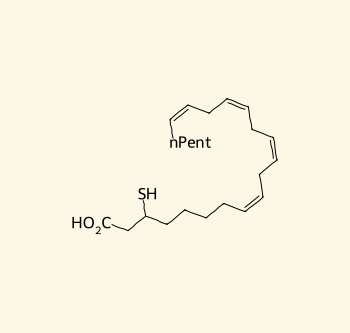 CCCCC/C=C\C/C=C\C/C=C\C/C=C\CCCCC(S)CC(=O)O